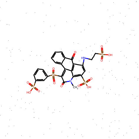 Cn1c(=O)c(S(=O)(=O)c2cccc(S(=O)(=O)O)c2)c2c3c(c(NCCS(=O)(=O)O)cc(S(=O)(=O)O)c31)C(=O)c1ccccc1-2